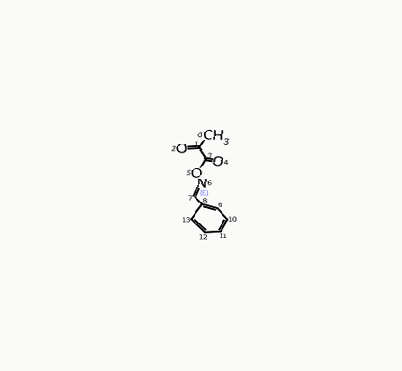 CC(=O)C(=O)O/N=C/c1ccccc1